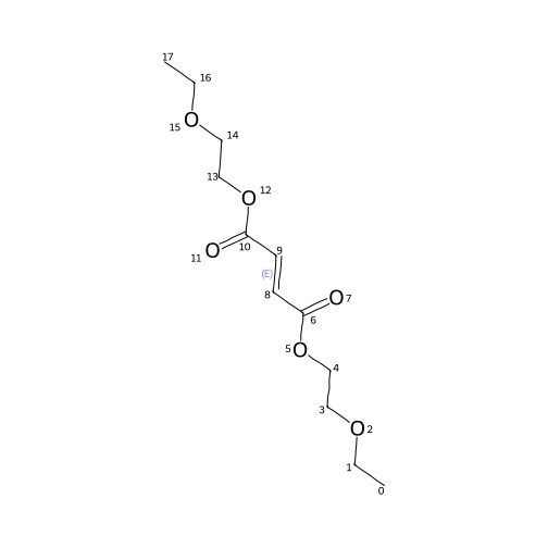 CCOCCOC(=O)/C=C/C(=O)OCCOCC